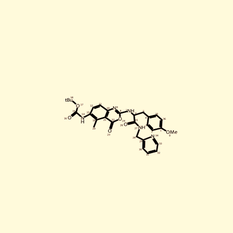 COc1ccc(CC(Nc2nc3ccc(NC(=O)OC(C)(C)C)c(C)c3c(=O)o2)C(=O)NCc2ccccn2)cc1